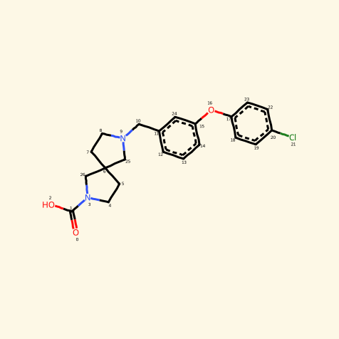 O=C(O)N1CCC2(CCN(Cc3cccc(Oc4ccc(Cl)cc4)c3)C2)C1